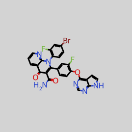 NC(=O)c1c(-c2ccc(Oc3ncnc4[nH]ccc34)c(F)c2)n(-c2ccc(Br)cc2F)c2ncccc2c1=O